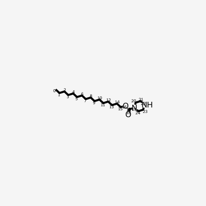 CCCCCCCCCCCCCCCCOC(=O)N1CCNCC1